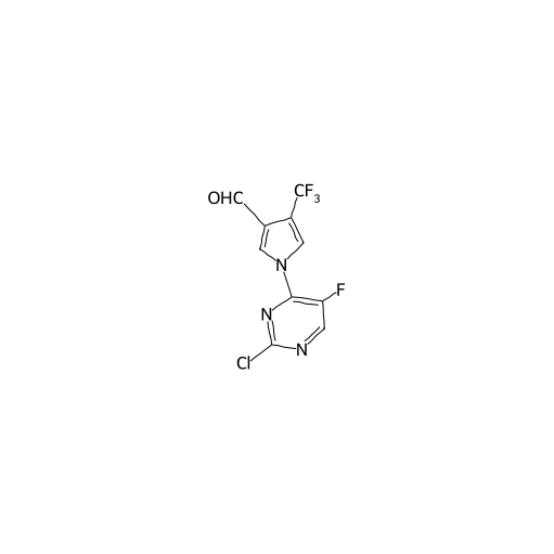 O=Cc1cn(-c2nc(Cl)ncc2F)cc1C(F)(F)F